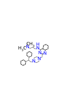 CN(C)CCCNc1nc(CN2CCN(CC(c3ccccc3)c3ccccc3)CC2)nc2ccccc12